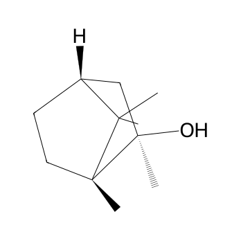 CC1(C)[C@@H]2CC[C@@]1(C)[C@](C)(O)C2